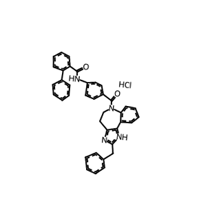 Cl.O=C(Nc1ccc(C(=O)N2CCc3nc(Cc4ccccc4)[nH]c3-c3ccccc32)cc1)c1ccccc1-c1ccccc1